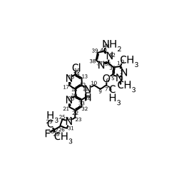 Cc1nn(C)c(O[C@@H](C)CCNc2cc(Cl)ncc2-c2ncc(CN3CC(C(C)(C)F)C3)cc2F)c1-c1nccc(N)n1